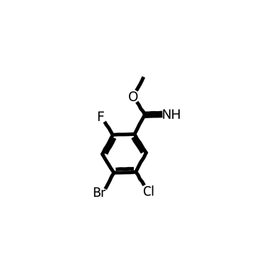 COC(=N)c1cc(Cl)c(Br)cc1F